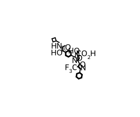 O=C(O)O.O[C@@H]1c2ccc(-c3noc(-c4onc(-c5ccccc5)c4C(F)(F)F)n3)cc2OC[C@@H]1NCC1CCC1